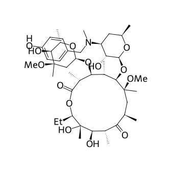 CC[C@H]1OC(=O)[C@H](C)[C@@H](O[C@H]2C[C@@](C)(OC)[C@@H](O)[C@H](C)O2)[C@H](C)[C@@H](O[C@@H]2O[C@H](C)C[C@H](N(C)Cc3ccc(O)cc3)[C@H]2O)[C@@](C)(OC)C[C@@H](C)C(=O)[C@H](C)[C@@H](O)[C@]1(C)O